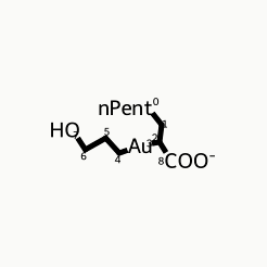 CCCCCC[CH]([Au][CH2]CCO)C(=O)[O-]